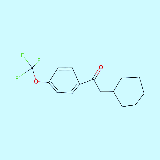 O=C(CC1CCCCC1)c1ccc(OC(F)(F)F)cc1